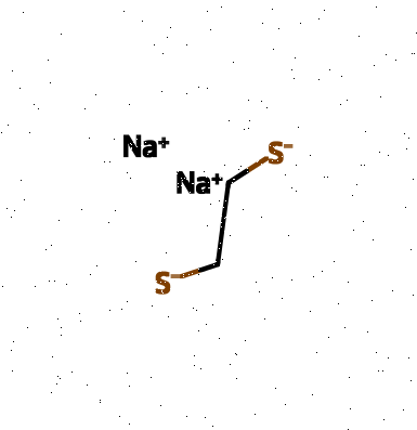 [Na+].[Na+].[S-]CC[S-]